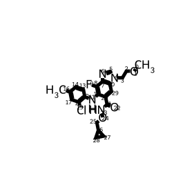 COCCn1cnc2c(F)c(Nc3ccc(C)cc3Cl)c(C(=O)NOCC3CC3)cc21